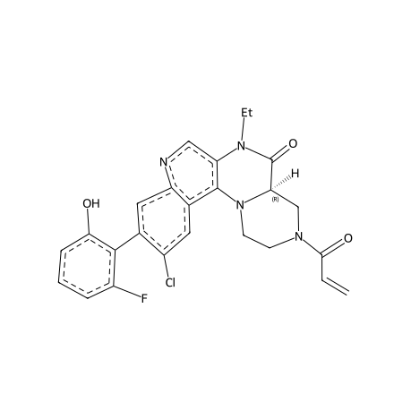 C=CC(=O)N1CCN2c3c(cnc4cc(-c5c(O)cccc5F)c(Cl)cc34)N(CC)C(=O)[C@H]2C1